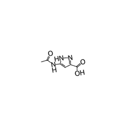 CC(=O)Nc1cc(C(=O)O)n[nH]1